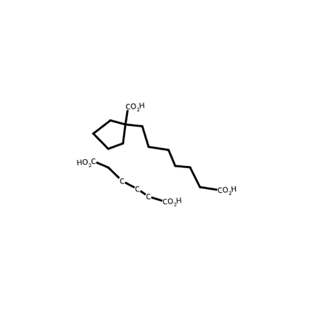 O=C(O)CCCCC(=O)O.O=C(O)CCCCCCC1(C(=O)O)CCCC1